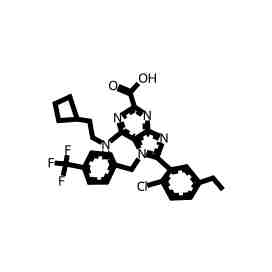 CCc1ccc(Cl)c(-c2nc3nc(C(=O)O)nc(NCCC4CCC4)c3n2Cc2ccc(C(F)(F)F)cc2)c1